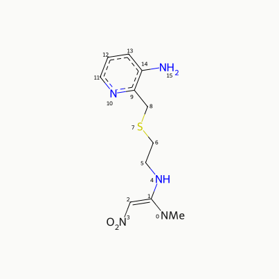 CNC(=C[N+](=O)[O-])NCCSCc1ncccc1N